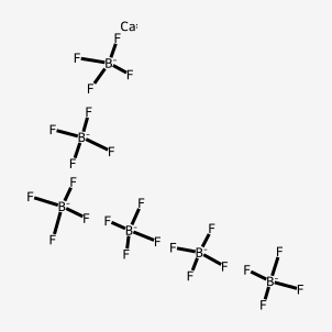 F[B-](F)(F)F.F[B-](F)(F)F.F[B-](F)(F)F.F[B-](F)(F)F.F[B-](F)(F)F.F[B-](F)(F)F.[Ca]